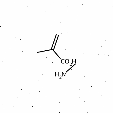 C=C(C)C(=O)O.CN